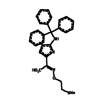 CSCCON=C(C(=O)O)c1csc(NC(c2ccccc2)(c2ccccc2)c2ccccc2)n1